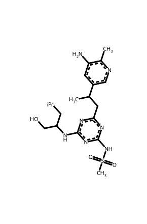 Cc1ncc(C(C)Cc2nc(NC(CO)CC(C)C)nc(NS(C)(=O)=O)n2)cc1N